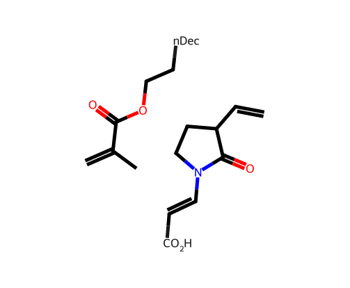 C=C(C)C(=O)OCCCCCCCCCCCC.C=CC1CCN(C=CC(=O)O)C1=O